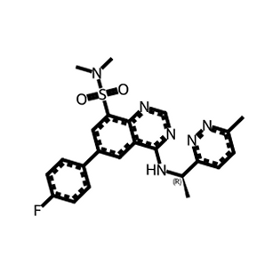 Cc1ccc([C@@H](C)Nc2ncnc3c(S(=O)(=O)N(C)C)cc(-c4ccc(F)cc4)cc23)nn1